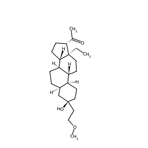 CC[C@]12CC[C@H]3[C@@H](CC[C@@H]4C[C@@](O)(CCOC)CC[C@@H]43)[C@@H]1CC[C@@H]2C(C)=O